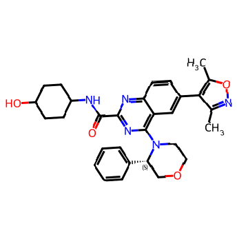 Cc1noc(C)c1-c1ccc2nc(C(=O)NC3CCC(O)CC3)nc(N3CCOC[C@@H]3c3ccccc3)c2c1